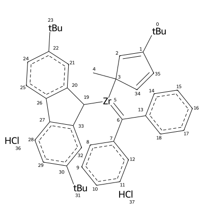 CC(C)(C)C1=C[C](C)([Zr](=[C](c2ccccc2)c2ccccc2)[CH]2c3cc(C(C)(C)C)ccc3-c3ccc(C(C)(C)C)cc32)C=C1.Cl.Cl